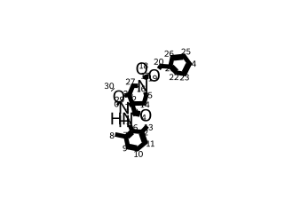 CNC1(C(=O)Nc2c(C)cccc2C)CCN(C(=O)OCc2ccccc2)CC1OC